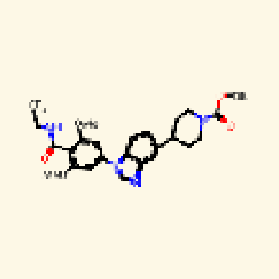 COc1cc(-n2cnc3cc(C4CCN(C(=O)OC(C)(C)C)CC4)ccc32)cc(OC)c1C(=O)NCC(F)(F)F